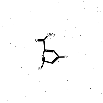 COC(=O)c1cc(Br)cc(Br)n1